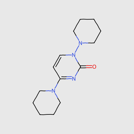 O=c1nc(N2CCCCC2)ccn1N1CCCCC1